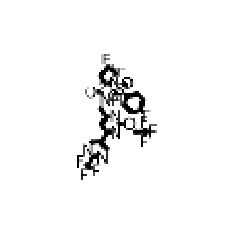 C[C@H]1[C@H](F)C[C@@H](C(=O)NCc2cc(-c3cnc(C(F)(F)F)nc3)nc(OCC(F)(F)F)n2)N1S(=O)(=O)c1ccc(F)cc1